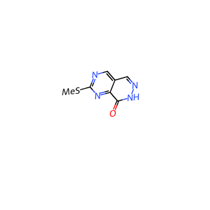 CSc1ncc2cn[nH]c(=O)c2n1